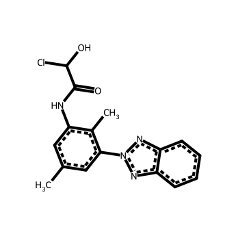 Cc1cc(NC(=O)C(O)Cl)c(C)c(-n2nc3ccccc3n2)c1